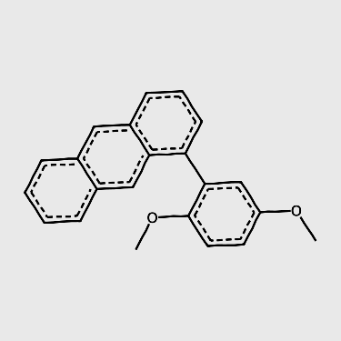 COc1ccc(OC)c(-c2cccc3cc4ccccc4cc23)c1